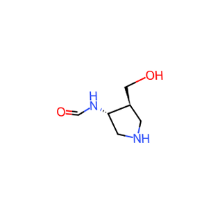 O=CN[C@H]1CNC[C@@H]1CO